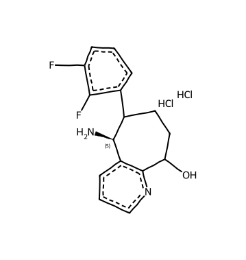 Cl.Cl.N[C@@H]1c2cccnc2C(O)CCC1c1cccc(F)c1F